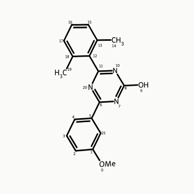 COc1cccc(-c2nc(O)nc(-c3c(C)cccc3C)n2)c1